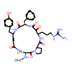 N=C(N)NCCCC1NC(=O)C2CCCN2C(=O)[C@@H](NC=O)CNC(=O)/C=C/C(Cc2ccc(O)cc2)NC(=O)[C@@H](Cc2ccccc2)NC(=O)C1=O